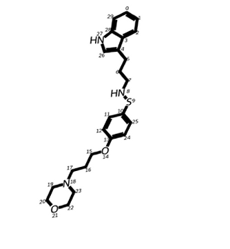 c1ccc2c(CCCNSc3ccc(OCCCN4CCOCC4)cc3)c[nH]c2c1